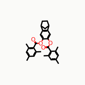 Cc1cc(C)c(C(=O)Oc2cc3c(cc2OC(=O)c2c(C)cc(C)cc2C)C2CCC3C2)c(C)c1